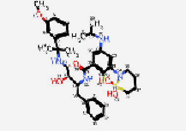 COc1cccc(C(C)(C)NC[C@H](O)[C@H](Cc2ccccc2)NC(=O)c2cc(NC(C)C)cc(N3CCCCS3(O)O)c2F)c1